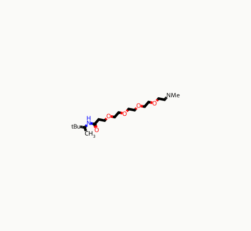 CNCCOCCOCCOCCOCCC(=O)NC(C)C(C)(C)C